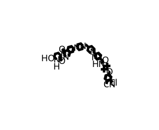 CC1(C)[C@H](NC(=O)c2ccc(N3CCC(CN4CCN(c5ccc6c(=O)n(C7CCC(O)NC7=O)ncc6c5)CC4)CC3)nc2)C(C)(C)[C@H]1Oc1ccc(C#N)c(Cl)c1